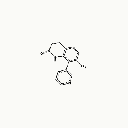 O=C1CCc2ccc(C(F)(F)F)c(-c3cccnc3)c2N1